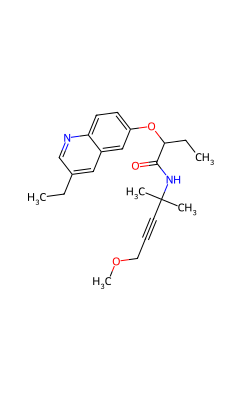 CCc1cnc2ccc(OC(CC)C(=O)NC(C)(C)C#CCOC)cc2c1